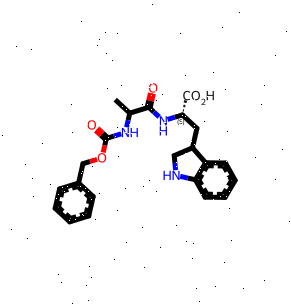 CC(NC(=O)OCc1ccccc1)C(=O)N[C@@H](CC1CNc2ccccc21)C(=O)O